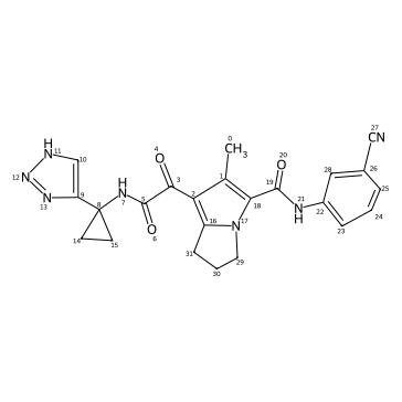 Cc1c(C(=O)C(=O)NC2(c3c[nH]nn3)CC2)c2n(c1C(=O)Nc1cccc(C#N)c1)CCC2